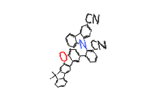 CC1(C)c2ccccc2-c2cc3c(cc21)oc1ccc(-c2cccc(C#N)c2-n2c4ccccc4c4cc(C#N)ccc42)cc13